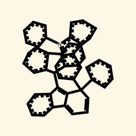 C1=CC(c2ccccc2)(c2ccc3c(c2)c2ccccc2n3-c2ccccc2)C2=C(C3c4ccccc4-c4ccccc43)c3ccccc3C2=C1